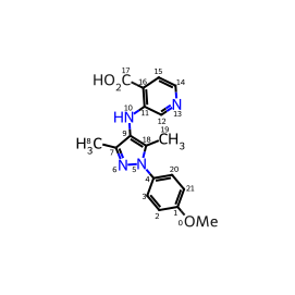 COc1ccc(-n2nc(C)c(Nc3cnccc3C(=O)O)c2C)cc1